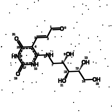 O=C/C=C/c1c(NC[C@H](O)[C@H](O)[C@H](O)CO)[nH]c(=O)[nH]c1=O